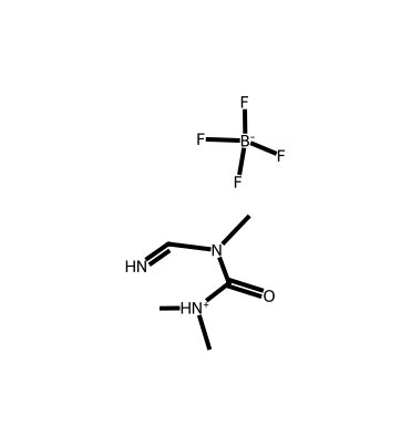 CN(C=N)C(=O)[NH+](C)C.F[B-](F)(F)F